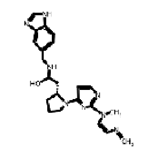 C=N/C=C\N(C)c1nccc(N2CCC[C@@H]2CC(O)NCc2ccc3[nH]cnc3c2)n1